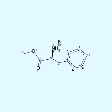 COC(=O)[C@@H](N)Cc1ccccc1.[B]